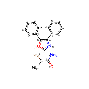 CC(S)C(N)=O.c1ccc(-c2ncoc2-c2ccccc2)cc1